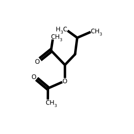 CC(=O)OC(CC(C)C)C(C)=O